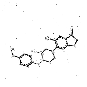 COc1ccc(O[C@H]2CCN(c3nc4c(cc3C)C(=O)NC4)C[C@H]2C)cn1